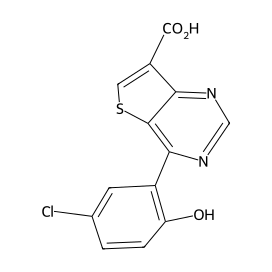 O=C(O)c1csc2c(-c3cc(Cl)ccc3O)ncnc12